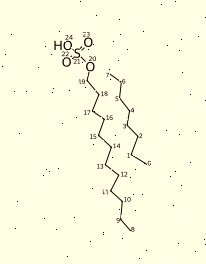 CCCCCCCC.CCCCCCCCCCCCOS(=O)(=O)O